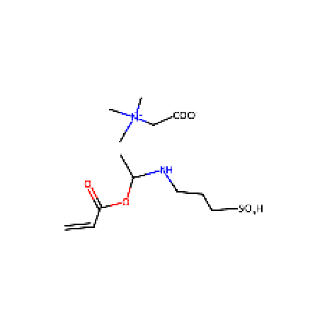 C=CC(=O)OC(C)NCCCS(=O)(=O)O.C[N+](C)(C)CC(=O)[O-]